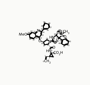 C=C[C@@H]1C[C@]1(NC(=O)[C@@H]1C[C@@H](Oc2cc(-c3ccccc3)nc3cc(OC)ccc23)CN1C(=O)NC(CC(C)C)C(N)(c1ccccc1)S(C)(=O)=O)C(=O)O